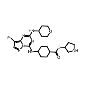 CC(C)c1cnn2c(NC3CCC(C(=O)OC4CCNC4)CC3)nc(NC3CCOCC3)nc12